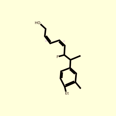 CCc1ccc(C(C)C(F)/C=C\C=C/CO)cc1C